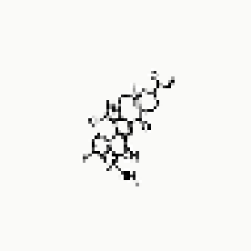 C=CC(=O)N1CCN2C(=O)c3cc(F)c(-c4ccc(F)c5sc(N)c(C#N)c45)c4c(Cl)nn(c34)CC[C@@H]2C1